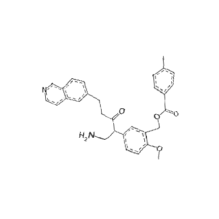 COc1ccc(C(CN)C(=O)CCc2ccc3cnccc3c2)cc1COC(=O)c1ccc(C)cc1